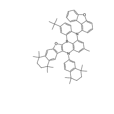 Cc1cc2c3c(c1)N(c1cccc4oc5ccccc5c14)c1ccc(C(C)(C)C)cc1B3c1oc3cc4c(cc3c1N2c1ccc2c(c1)C(C)(C)CCC2(C)C)C(C)(C)CCC4(C)C